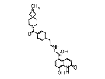 CN1CC2(CCN(C(=O)c3ccc(CCNC[C@H](O)c4ccc(O)c5[nH]c(=O)ccc45)cc3)CC2)C1